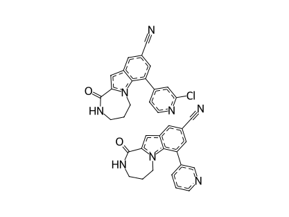 N#Cc1cc(-c2cccnc2)c2c(c1)cc1n2CCCNC1=O.N#Cc1cc(-c2ccnc(Cl)c2)c2c(c1)cc1n2CCCNC1=O